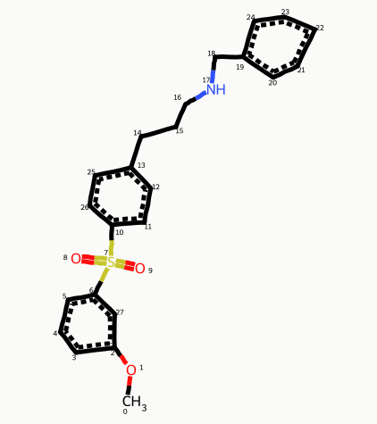 COc1cccc(S(=O)(=O)c2ccc(CCCNCc3ccccc3)cc2)c1